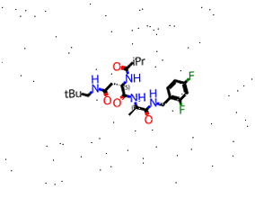 CC(C)C(=O)N[C@@H](CC(=O)NCC(C)(C)C)C(=O)N[C@H](C)C(=O)NCc1ccc(F)cc1F